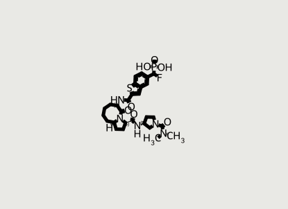 CN(C)C(=O)N1CC[C@@H](NC(=O)[C@@H]2CC[C@@H]3CCCC[C@H](NC(=O)c4cc5cc(C(F)P(=O)(O)O)ccc5s4)C(=O)N32)C1